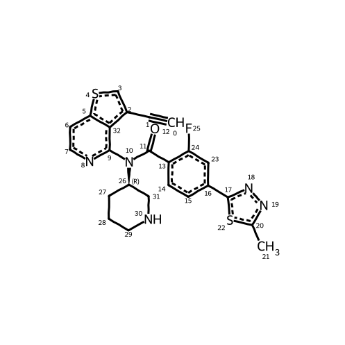 C#Cc1csc2ccnc(N(C(=O)c3ccc(-c4nnc(C)s4)cc3F)[C@@H]3CCCNC3)c12